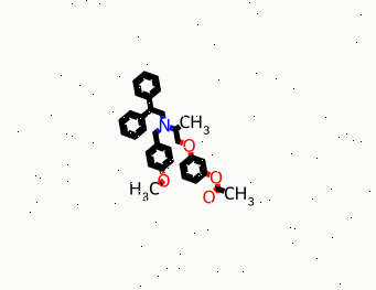 COc1ccc(CN(CC(c2ccccc2)c2ccccc2)C(C)COc2cccc(OC(C)=O)c2)cc1